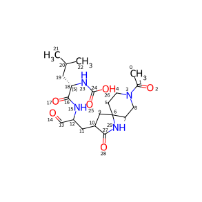 CC(=O)N1CCC2(CC1)CC(CC(C=O)NC(=O)[C@H](CC(C)C)NC(=O)O)C(=O)N2